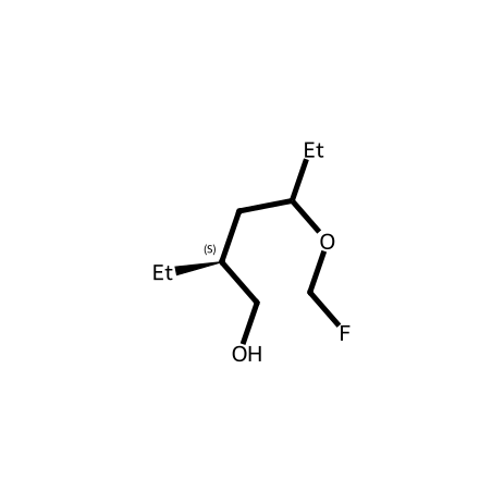 CCC(C[C@H](CC)CO)OCF